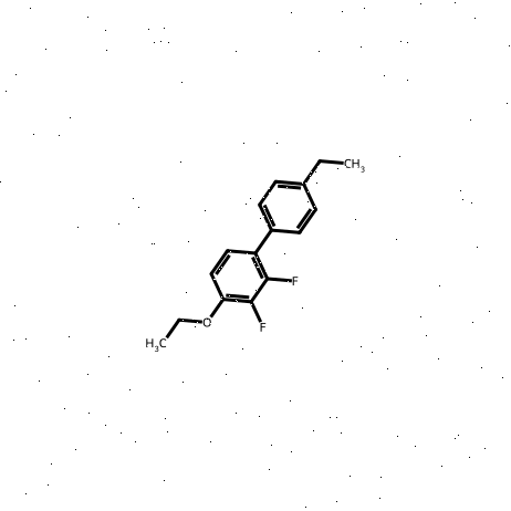 CCOc1ccc(-c2ccc(CC)cc2)c(F)c1F